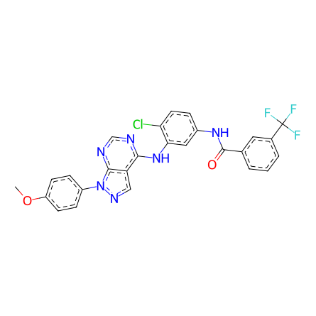 COc1ccc(-n2ncc3c(Nc4cc(NC(=O)c5cccc(C(F)(F)F)c5)ccc4Cl)ncnc32)cc1